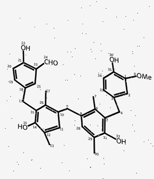 COc1cc(Cc2c(C)c(Cc3cc(C)c(O)c(Cc4ccc(O)c(C=O)c4)c3C)cc(C)c2O)ccc1O